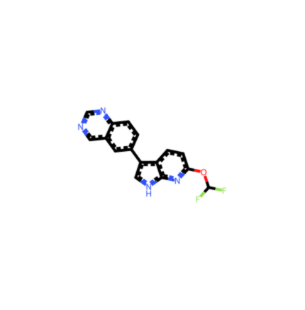 FC(F)Oc1ccc2c(-c3ccc4ncncc4c3)c[nH]c2n1